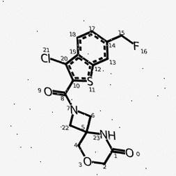 O=C1COCC2(CN(C(=O)c3sc4cc(CF)ccc4c3Cl)C2)N1